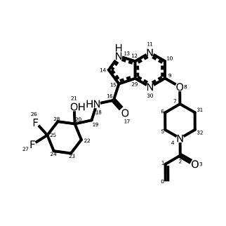 C=CC(=O)N1CCC(Oc2cnc3[nH]cc(C(=O)NCC4(O)CCCC(F)(F)C4)c3n2)CC1